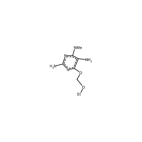 CCOCOc1nc(N)nc(NC)c1N